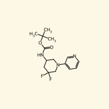 CC(C)(C)OC(=O)NC1CN(c2cccnc2)CC(F)(F)C1